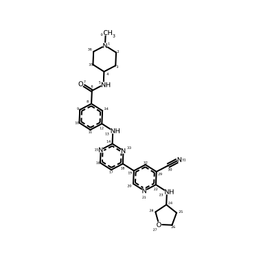 CN1CCC(NC(=O)c2cccc(Nc3nccc(-c4cnc(NC5CCOC5)c(C#N)c4)n3)c2)CC1